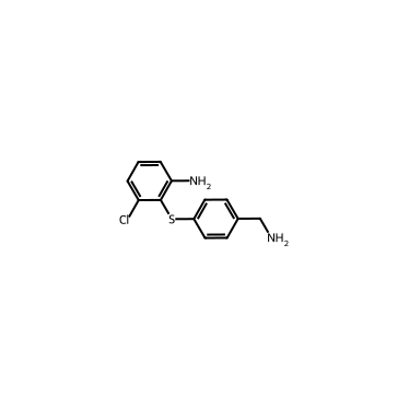 NCc1ccc(Sc2c(N)cccc2Cl)cc1